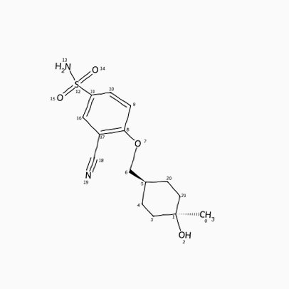 C[C@]1(O)CC[C@@H](COc2ccc(S(N)(=O)=O)cc2C#N)CC1